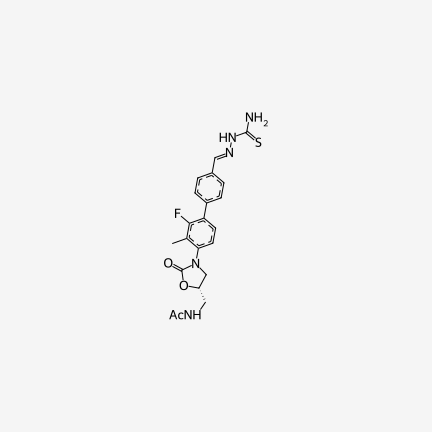 CC(=O)NC[C@H]1CN(c2ccc(-c3ccc(C=NNC(N)=S)cc3)c(F)c2C)C(=O)O1